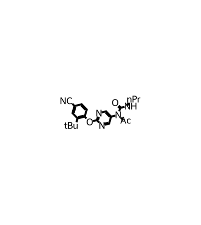 CCCNC(=O)N(C(C)=O)c1cnc(Oc2ccc(C#N)cc2C(C)(C)C)nc1